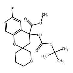 COC(=O)C1(NC(=O)OC(C)(C)C)CC2(CCCOC2)Oc2ccc(Br)cc21